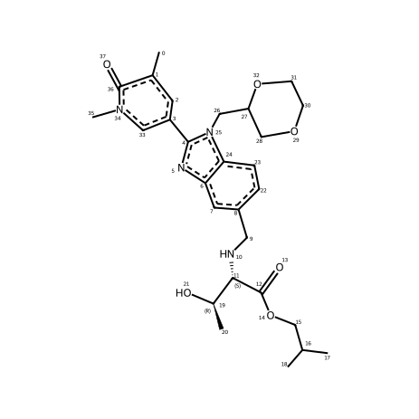 Cc1cc(-c2nc3cc(CN[C@H](C(=O)OCC(C)C)[C@@H](C)O)ccc3n2CC2COCCO2)cn(C)c1=O